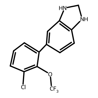 FC(F)(F)Oc1c(Cl)cccc1-c1ccc2c(c1)NCN2